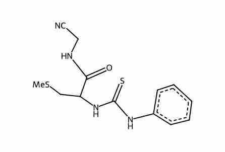 CSCC(NC(=S)Nc1ccccc1)C(=O)NCC#N